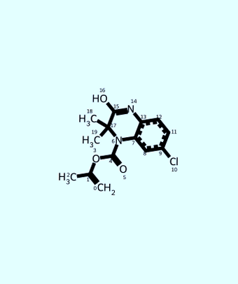 C=C(C)OC(=O)N1c2cc(Cl)ccc2N=C(O)C1(C)C